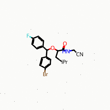 CC(C)CC(OC(c1ccc(F)cc1)c1ccc(Br)cc1)C(=O)NCC#N